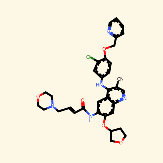 N#Cc1cnc2cc(OC3CCOC3)c(NC(=O)/C=C/CN3CCOCC3)cc2c1Nc1ccc(OCc2ccccn2)c(Cl)c1